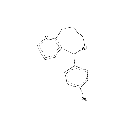 CC(C)(C)c1ccc(C2NCCCc3ncccc32)cc1